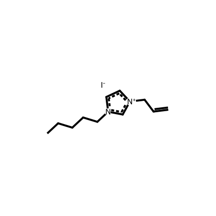 C=CC[n+]1ccn(CCCCC)c1.[I-]